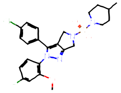 COc1cc(F)ccc1-n1nc2c(c1-c1ccc(Cl)cc1)CN(S(=O)(=O)N1CCC(C)CC1)C2